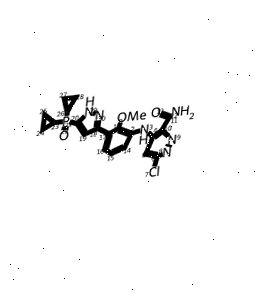 COc1c(Nc2cc(Cl)nnc2C(N)=O)cccc1-c1cc(P(=O)(C2CC2)C2CC2)[nH]n1